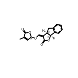 CC1=C[C@H](OC=C2C(=O)O[C@@H]3c4ccccc4C[C@H]23)OC1=O